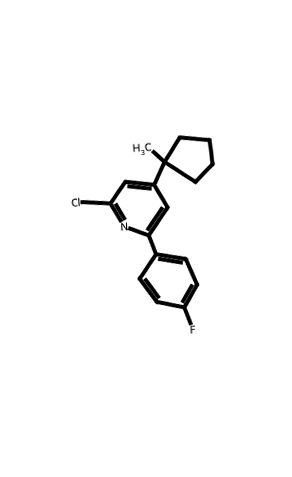 CC1(c2cc(Cl)nc(-c3ccc(F)cc3)c2)CCCC1